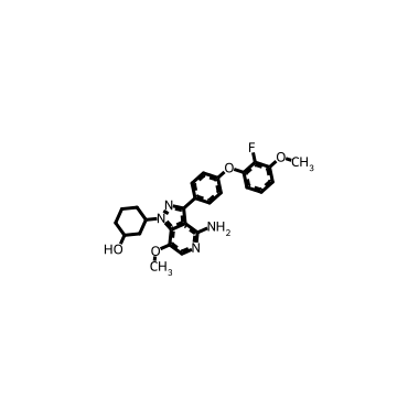 COc1cccc(Oc2ccc(-c3nn(C4CCCC(O)C4)c4c(OC)cnc(N)c34)cc2)c1F